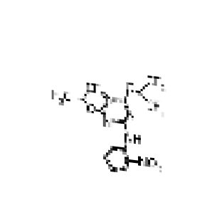 O=[N+]([O-])c1ccccc1Nc1nc(OC(C(F)(F)F)C(F)(F)F)nc(OC(C(F)(F)F)C(F)(F)F)n1